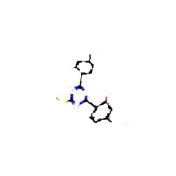 CCCSc1nc(-c2ccc(OC)cc2O)nc(-c2ccc(OC)cc2O)n1